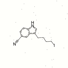 N#Cc1ccc2[nH]cc(CCCCI)c2c1